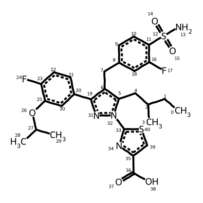 CCC(C)Cc1c(Cc2ccc(S(N)(=O)=O)c(F)c2)c(-c2ccc(F)c(OC(C)C)c2)nn1-c1nc(C(=O)O)cs1